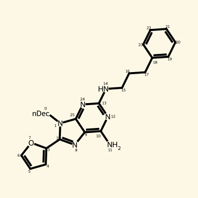 CCCCCCCCCCn1c(-c2ccco2)nc2c(N)nc(NCCCc3ccccc3)nc21